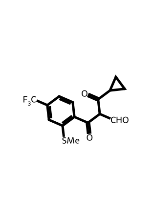 CSc1cc(C(F)(F)F)ccc1C(=O)C(C=O)C(=O)C1CC1